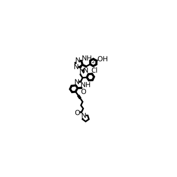 Nc1ncnc2c1c(-c1ccc(O)cc1)nn2CC(c1cccc(Cl)c1)c1nc2cccc(C#CCCCC(=O)N3CCCC3)c2c(=O)[nH]1